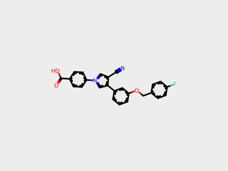 N#Cc1cn(-c2ccc(C(=O)O)cc2)cc1-c1cccc(OCc2ccc(F)cc2)c1